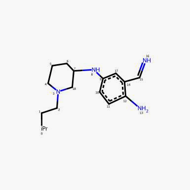 CC(C)CCN1CCCC(Nc2ccc(N)c(C=N)c2)C1